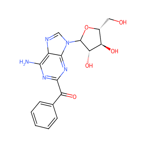 Nc1nc(C(=O)c2ccccc2)nc2c1ncn2C1O[C@H](CO)[C@@H](O)[C@@H]1O